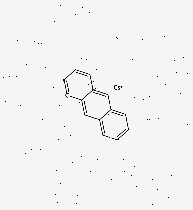 [Cs+].[c-]1cccc2cc3ccccc3cc12